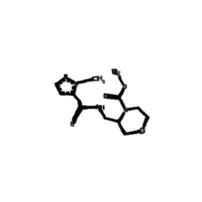 Cn1nccc1C(=O)NCC1COCCN1C(=O)OC(C)(C)C